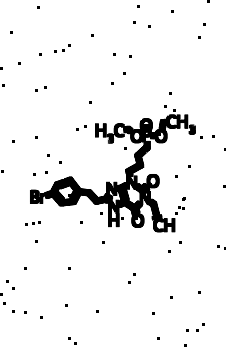 C#CCn1c(=O)c2[nH]c(CCc3ccc(Br)cc3)nc2n(CCCCP(=O)(OCC)OCC)c1=O